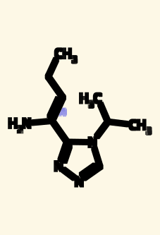 CC/C=C(\N)c1nncn1C(C)C